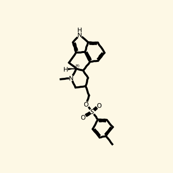 Cc1ccc(S(=O)(=O)OCC2CC3c4cccc5[nH]cc(c45)C[C@H]3N(C)C2)cc1